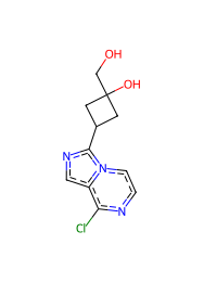 OCC1(O)CC(c2ncc3c(Cl)nccn23)C1